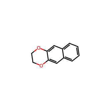 c1ccc2cc3c(cc2c1)OCCO3